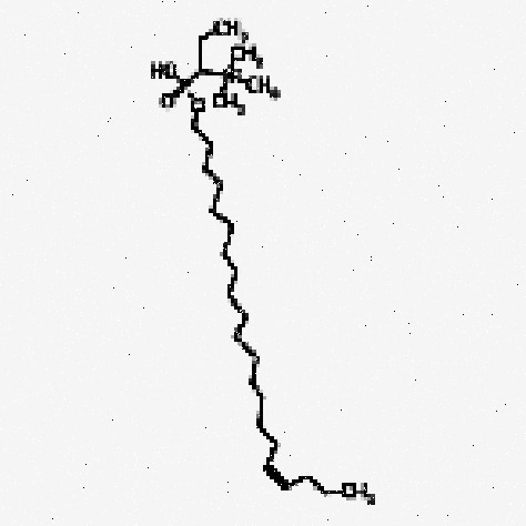 CCC/C=C\CCCCCCCCCCCCCCCCOP(=O)(O)C(CC)[N+](C)(C)C